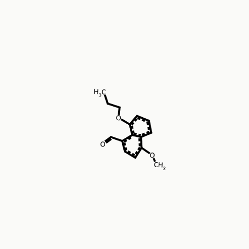 CCCOc1cccc2c(OC)ccc(C=O)c12